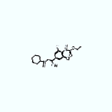 CCOC(=O)Nc1c(Cl)cc(C(O)CNC2CCCCC2)cc1Cl